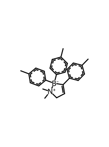 Cc1ccc(C2=CC[N+](C)(C)[B-]2(c2ccc(C)cc2)c2ccc(C)cc2)cc1